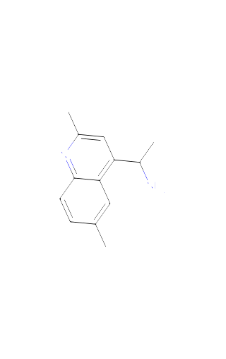 Cc1ccc2nc(C)cc(C(C)N)c2c1